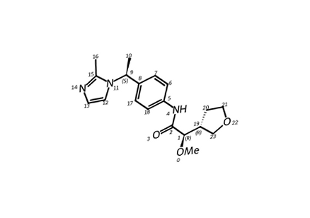 CO[C@@H](C(=O)Nc1ccc([C@H](C)n2ccnc2C)cc1)[C@@H]1CCOC1